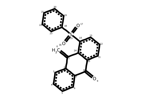 C=C1c2ccccc2C(=O)c2cccc(S(=O)(=O)c3ccccc3)c21